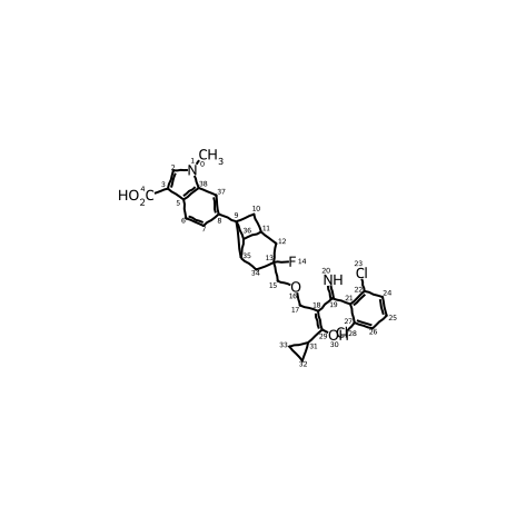 Cn1cc(C(=O)O)c2ccc(C34CC5CC(F)(COC/C(C(=N)c6c(Cl)cccc6Cl)=C(/O)C6CC6)CC3C54)cc21